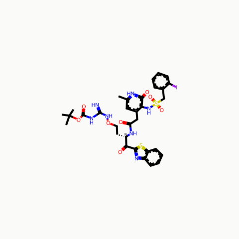 Cc1cc(CC(=O)N[C@@H](CCONC(=N)NC(=O)OC(C)(C)C)C(=O)c2nc3ccccc3s2)c(NS(=O)(=O)Cc2ccccc2I)c(=O)[nH]1